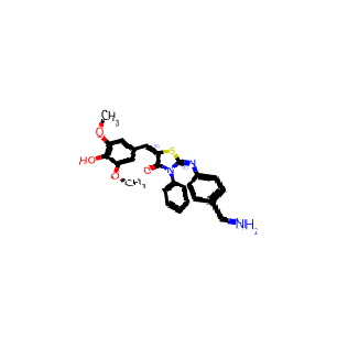 COc1cc(/C=C2/S/C(=N/c3ccc(CN)cc3)N(c3ccccc3)C2=O)cc(OC)c1O